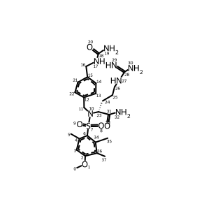 COc1cc(C)c(S(=O)(=O)N(Cc2ccc(CNC(N)=O)cc2)[C@H](CCCNC(=N)N)C(N)=O)c(C)c1C